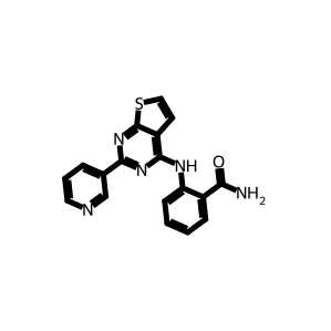 NC(=O)c1ccccc1Nc1nc(-c2cccnc2)nc2sccc12